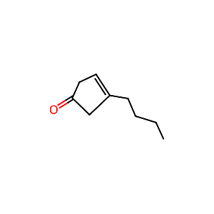 CCCCC1=CCC(=O)C1